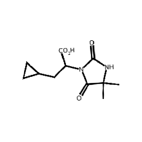 CC1(C)NC(=O)N(C(CC2CC2)C(=O)O)C1=O